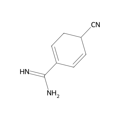 N#CC1C=CC(C(=N)N)=CC1